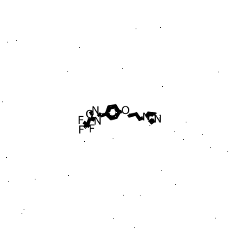 FC(F)(F)c1nc(-c2ccc(OCCCn3ccnc3)cc2)no1